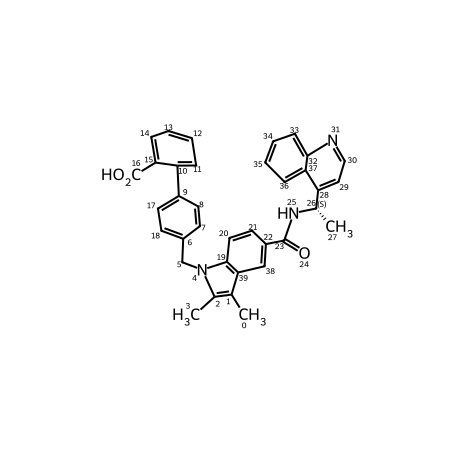 Cc1c(C)n(Cc2ccc(-c3ccccc3C(=O)O)cc2)c2ccc(C(=O)N[C@@H](C)c3ccnc4ccccc34)cc12